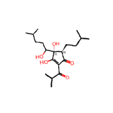 CC(C)CCC(O)[C@]1(O)C(O)=C(C(=O)C(C)C)C(=O)[C@@H]1CCC(C)C